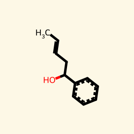 CC=CCC(O)c1ccccc1